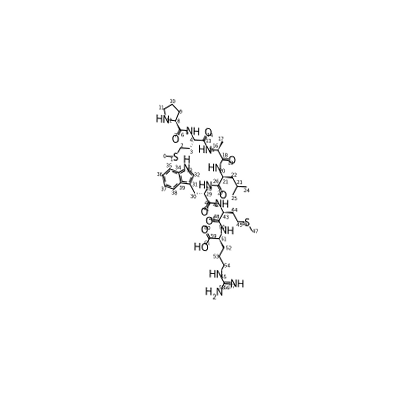 CSCC[C@H](NC(=O)[C@@H]1CCCN1)C(=O)N[C@@H](C)C(=O)N[C@@H](CC(C)C)C(=O)N[C@@H](Cc1c[nH]c2ccccc12)C(=O)N[C@@H](CCSC)C(=O)N[C@@H](CCCNC(=N)N)C(=O)O